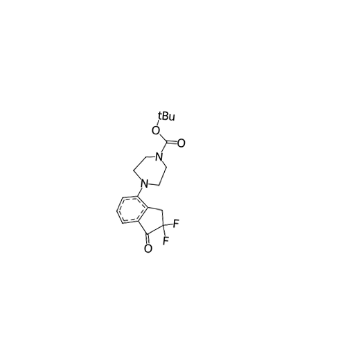 CC(C)(C)OC(=O)N1CCN(c2cccc3c2CC(F)(F)C3=O)CC1